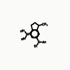 CCCNCCC.CCN(C(C)=O)c1ccc2c(c1)C(C)CC2